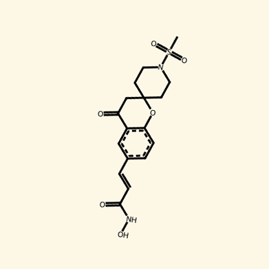 CS(=O)(=O)N1CCC2(CC1)CC(=O)c1cc(/C=C/C(=O)NO)ccc1O2